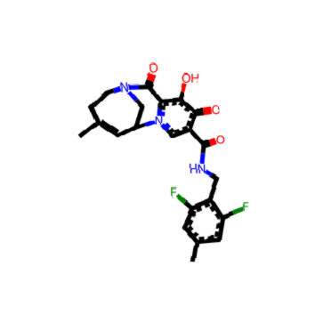 CC1=CC2CN(CC1)C(=O)c1c(O)c(=O)c(C(=O)NCc3c(F)cc(C)cc3F)cn12